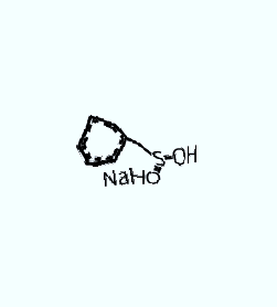 O=S(O)Cc1ccccc1.[NaH]